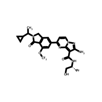 CC(C)[C@H](CO)NC(=O)c1c(N)nn2ccc(-c3cc4c(c(OC(F)(F)F)c3)C(=O)N(C(C)C3CC3)C4)nc12